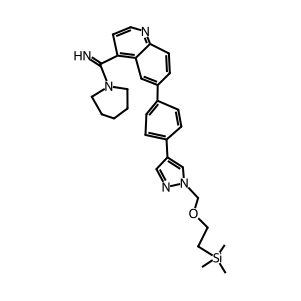 C[Si](C)(C)CCOCn1cc(-c2ccc(-c3ccc4nccc(C(=N)N5CCCCC5)c4c3)cc2)cn1